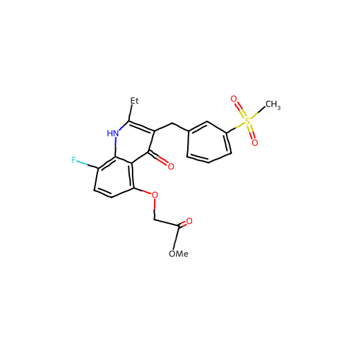 CCc1[nH]c2c(F)ccc(OCC(=O)OC)c2c(=O)c1Cc1cccc(S(C)(=O)=O)c1